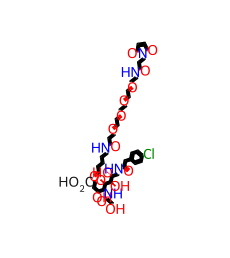 O=C(CCOCCOCCOCCOCCNC(=O)CCN1C(=O)C=CC1=O)NCCCCCO[C@]1(C(=O)O)C[C@H](O)[C@@H](NC(=O)CO)[C@H]([C@H](O)[C@H](O)CNC(=O)Cc2ccc(Cl)cc2)O1